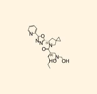 CCCC[C@H](CN(O)CO)C(=O)N1CC2(CC2)C[C@H]1c1nnc(-c2ccccn2)o1